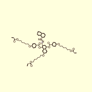 C=CC(=O)OCCCCCCOc1ccc(C(=O)Oc2cc(/C=N/Nc3cccc4ccccc34)c(OC(=O)c3ccc(OCCCCCCOC(=O)C=C)cc3)c3cc(OCCCCCCOC(=O)C=C)ccc23)cc1